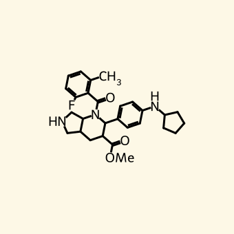 COC(=O)C1CC2CNCC2N(C(=O)c2c(C)cccc2F)C1c1ccc(NC2CCCC2)cc1